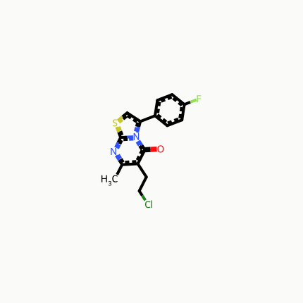 Cc1nc2scc(-c3ccc(F)cc3)n2c(=O)c1CCCl